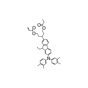 C=CC(=O)OCCC(CCOC(=O)CC)c1ccc2c(c1)C(CC)c1cc(N(c3ccc(C)c(C)c3)c3ccc(C)c(C)c3)ccc1-2